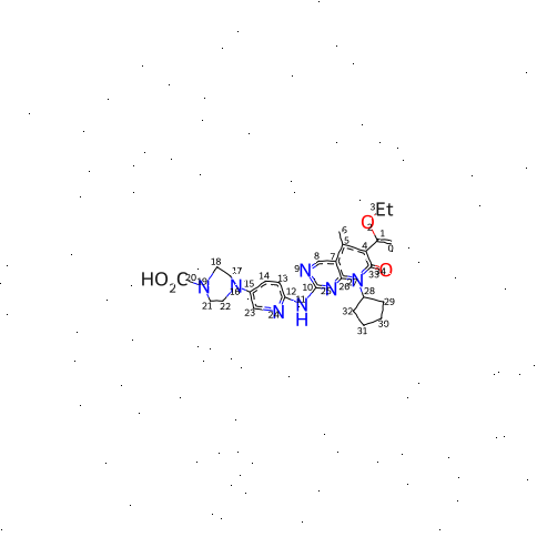 C=C(OCC)c1c(C)c2cnc(Nc3ccc(N4CCN(C(=O)O)CC4)cn3)nc2n(C2CCCC2)c1=O